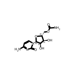 NC(=O)OC[C@H]1O[C@@H](n2ccc(N)nc2=O)[C@H](O)[C@@H]1O